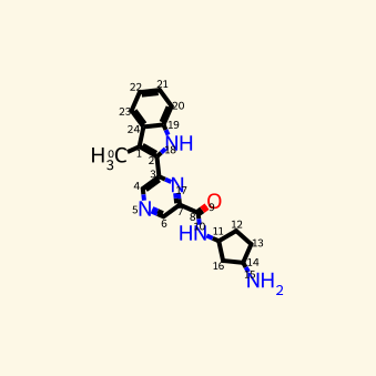 Cc1c(-c2cncc(C(=O)NC3CCC(N)C3)n2)[nH]c2ccccc12